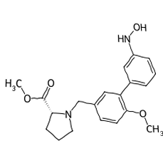 COC(=O)[C@H]1CCCN1Cc1ccc(OC)c(-c2cccc(NO)c2)c1